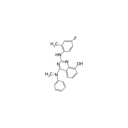 Cc1cc(F)ccc1Nc1nc(N(C)c2ccccc2)c2cccc(O)c2n1